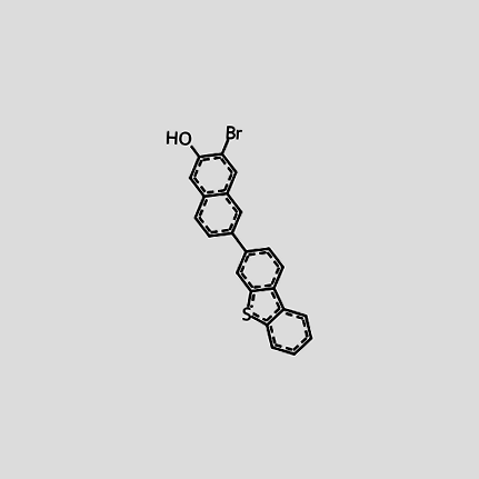 Oc1cc2ccc(-c3ccc4c(c3)sc3ccccc34)cc2cc1Br